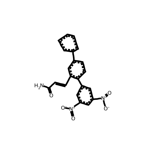 NC(=O)/C=C/c1cc(-c2ccccc2)ccc1-c1cc([N+](=O)[O-])cc([N+](=O)[O-])c1